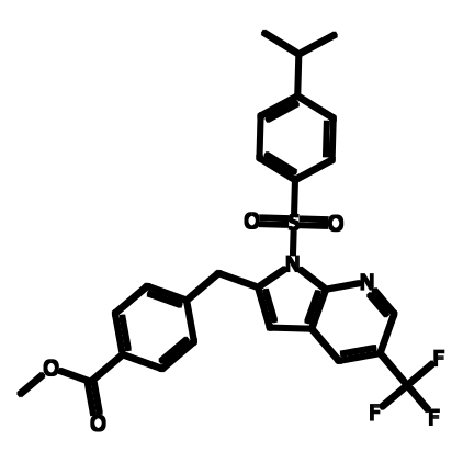 COC(=O)c1ccc(Cc2cc3cc(C(F)(F)F)cnc3n2S(=O)(=O)c2ccc(C(C)C)cc2)cc1